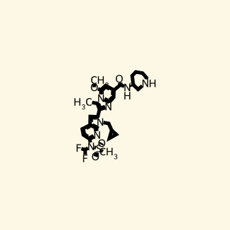 COc1cc(C(=O)N[C@H]2CCCCNC2)cc2nc(-c3cc4ccc(N(C(F)F)S(C)(=O)=O)nc4n3CC3CC3)c(C)n12